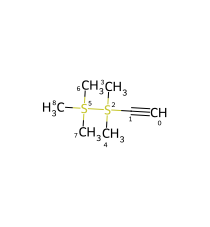 C#CS(C)(C)S(C)(C)C